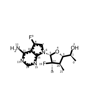 C[C@H](O)[C@H]1O[C@@H](n2cc(F)c3c(N)ncnc32)[C@](C)(F)[C@@H]1C